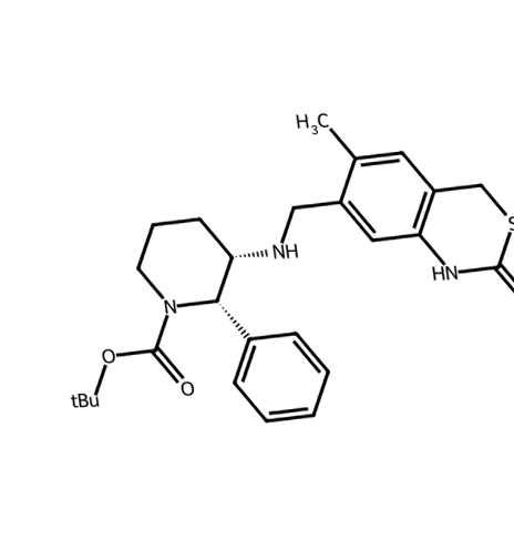 Cc1cc2c(cc1CN[C@H]1CCCN(C(=O)OC(C)(C)C)[C@H]1c1ccccc1)NC(=O)SC2